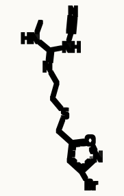 CN/C(=N/CCSCc1cc(Br)no1)NC#N